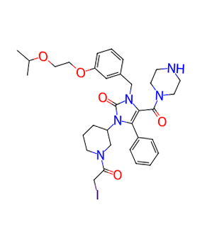 CC(C)OCCOc1cccc(Cn2c(C(=O)N3CCNCC3)c(-c3ccccc3)n(C3CCCN(C(=O)CI)C3)c2=O)c1